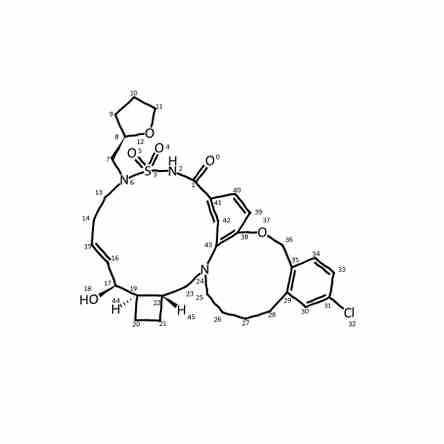 O=C1NS(=O)(=O)N(C[C@H]2CCCO2)CC/C=C/[C@H](O)[C@@H]2CC[C@H]2CN2CCCCc3cc(Cl)ccc3COc3ccc1cc32